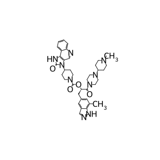 Cc1cc(C[C@@H](OC(=O)N2CCC(n3c(=O)[nH]c4c5ccccc5ncc43)CC2)C(=O)N2CCN(C3CCN(C)CC3)CC2)cc2cn[nH]c12